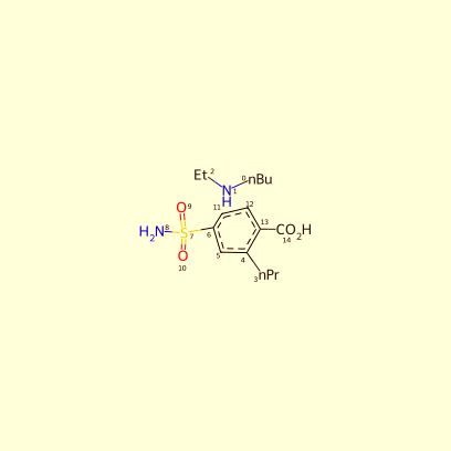 CCCCNCC.CCCc1cc(S(N)(=O)=O)ccc1C(=O)O